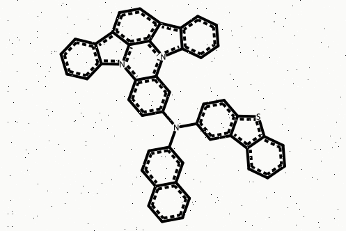 c1ccc2cc(N(c3ccc4sc5ccccc5c4c3)c3ccc4c(c3)n3c5ccccc5c5ccc6c7ccccc7n4c6c53)ccc2c1